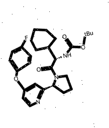 CC(C)(C)OC(=O)N[C@H](C(=O)N1CCC[C@H]1c1cc(Oc2ccc(F)cc2)ccn1)C1CCCCC1